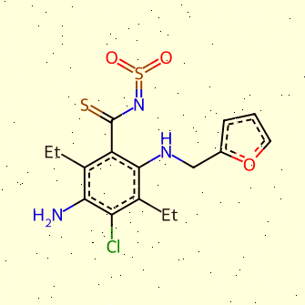 CCc1c(Cl)c(N)c(CC)c(C(=S)N=S(=O)=O)c1NCc1ccco1